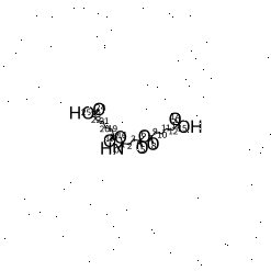 N=C(CCC(=O)OC(=O)CCCCC(=O)O)OC(=O)CCCCC(=O)O